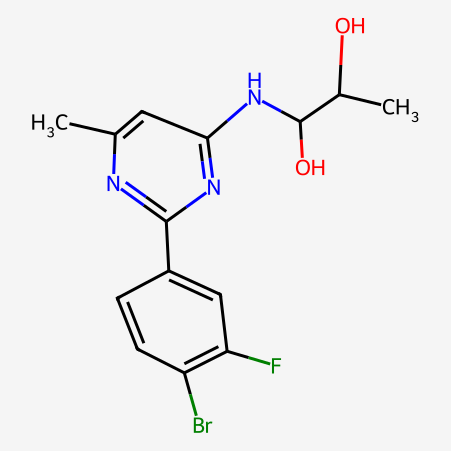 Cc1cc(NC(O)C(C)O)nc(-c2ccc(Br)c(F)c2)n1